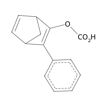 O=C(O)OC1=C(c2ccccc2)C2C=CC1C2